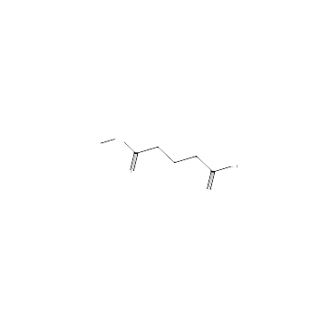 CCCOC(=O)CCCC(=O)CCC